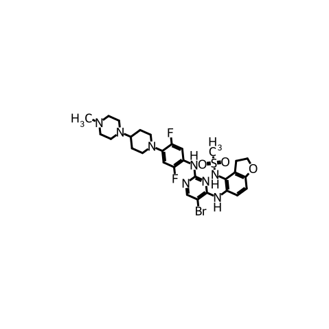 CN1CCN(C2CCN(c3cc(F)c(Nc4ncc(Br)c(Nc5ccc6c(c5NS(C)(=O)=O)CCO6)n4)cc3F)CC2)CC1